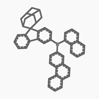 c1ccc2c(c1)-c1cc(N(c3ccc4c(ccc5ccccc54)c3)c3cccc4ccccc34)ccc1C21C2CC3CC(C2)CC1C3